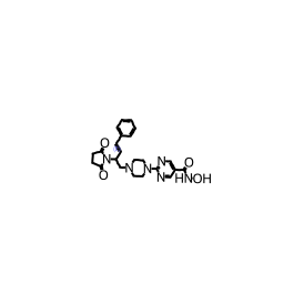 O=C(NO)c1cnc(N2CCN(CC(/C=C/c3ccccc3)N3C(=O)CCC3=O)CC2)nc1